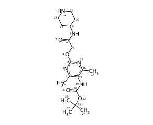 Cc1nc(OCC(=O)NC2CCNCC2)nc(C)c1NC(=O)OC(C)(C)C